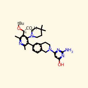 Cc1nc(C)c([C@H](OC(C)(C)C)C(=O)O)c(N2CCC(C)(C)CC2)c1-c1ccc2c(c1)CCN(c1cc(O)nc(N)n1)C2